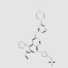 C=CC(=O)N1CCC[C@@]1(C)c1ccc(N2CC(CS(C)(=O)=O)C2)c2cnc(Nc3ccnc(N4CC[C@@H](OC)[C@@H](F)C4)n3)cc12